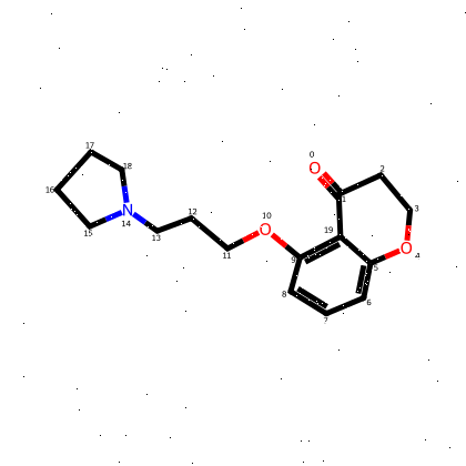 O=C1CCOc2cccc(OCCCN3CCCC3)c21